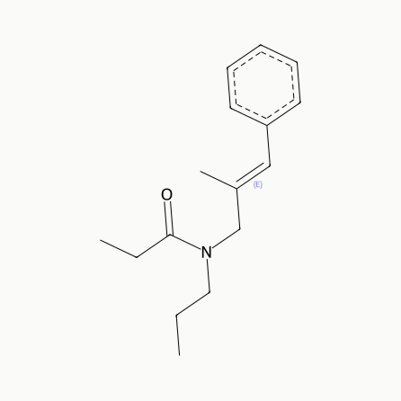 CCCN(C/C(C)=C/c1ccccc1)C(=O)CC